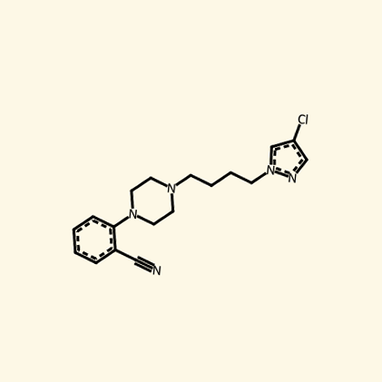 N#Cc1ccccc1N1CCN(CCCCn2cc(Cl)cn2)CC1